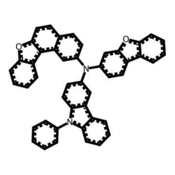 c1ccc(-n2c3ccccc3c3cc(N(c4ccc5c(c4)oc4ccccc45)c4ccc5ccc6oc7ccccc7c6c5c4)ccc32)cc1